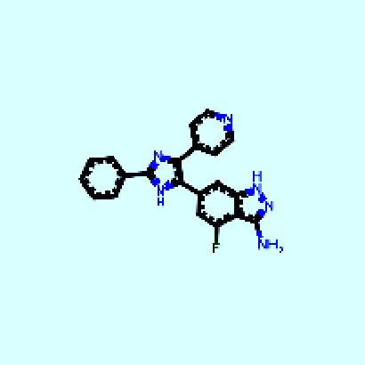 Nc1n[nH]c2cc(-c3[nH]c(-c4ccccc4)nc3-c3ccncc3)cc(F)c12